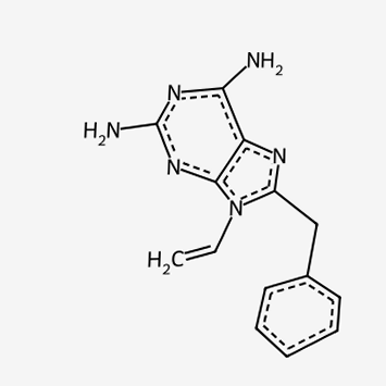 C=Cn1c(Cc2ccccc2)nc2c(N)nc(N)nc21